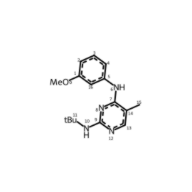 COc1cccc(Nc2nc(NC(C)(C)C)ncc2C)c1